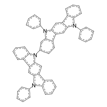 c1ccc(-n2c3ccccc3c3cc4c(cc32)c2ccccc2n4-c2ccc3c4cc5c(cc4n(-c4ccccc4)c3c2)c2ccccc2n5-c2ccccc2)cc1